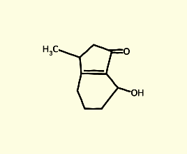 CC1CC(=O)C2=C1CCCC2O